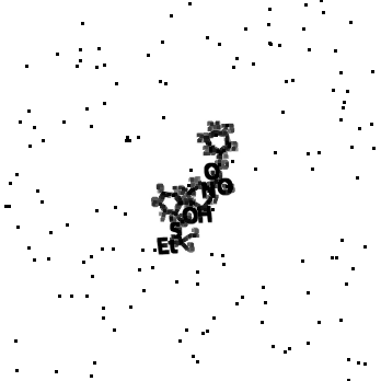 CCC(C)(C)SCc1ccccc1C1(O)CCN(C(=O)OCc2ccccc2)CC1